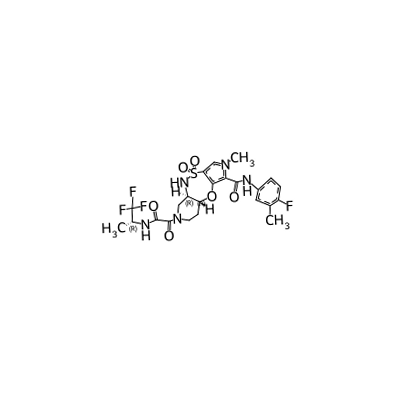 Cc1cc(NC(=O)c2c3c(cn2C)S(=O)(=O)N[C@@H]2CN(C(=O)C(=O)N[C@H](C)C(F)(F)F)CC[C@H]2O3)ccc1F